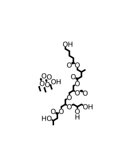 CC(O)CC(=O)OCC(COCC(COC(=O)CC(C)COC(=O)CCCCO)OC=O)OCC(O)CO.CCO.CCOC=O.CCOC=O